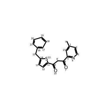 Cc1ccnc(C(=O)CC(=O)c2ccc(Cc3ccccc3)s2)c1